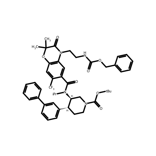 CC(C)N(C(=O)c1cc2c(cc1C(F)(F)F)OC(C)(C)C(=O)N2CCNC(=O)OCc1ccccc1)[C@H]1CN(C(=O)OC(C)(C)C)CC[C@@H]1c1cccc(-c2ccccc2)c1